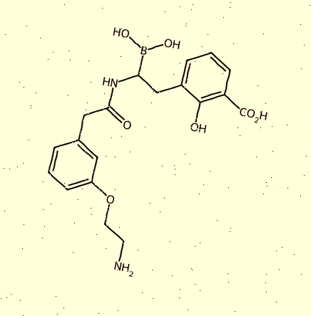 NCCOc1cccc(CC(=O)NC(Cc2cccc(C(=O)O)c2O)B(O)O)c1